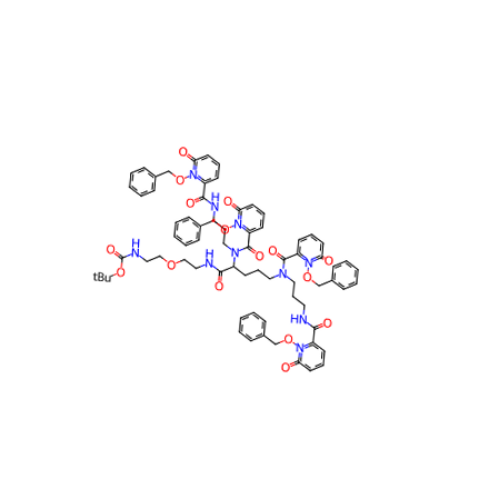 CC(C)(C)OC(=O)NCCOCCNC(=O)C(CCCN(CCCNC(=O)c1cccc(=O)n1OCc1ccccc1)C(=O)c1cccc(=O)n1OCc1ccccc1)N(CCCNC(=O)c1cccc(=O)n1OCc1ccccc1)C(=O)c1cccc(=O)n1OCc1ccccc1